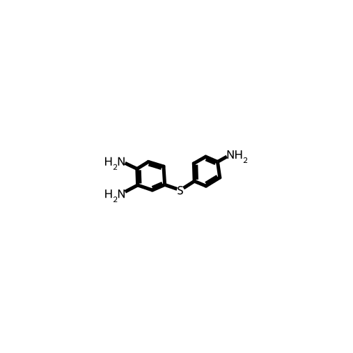 Nc1ccc(Sc2ccc(N)c(N)c2)cc1